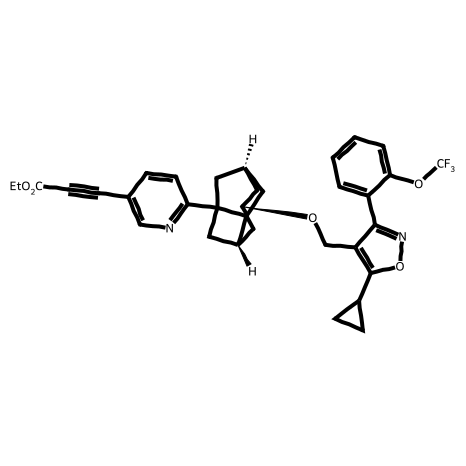 CCOC(=O)C#Cc1ccc(C23C[C@H]4CC2[C@H](C[C@@H](OCc2c(-c5ccccc5OC(F)(F)F)noc2C2CC2)C4)C3)nc1